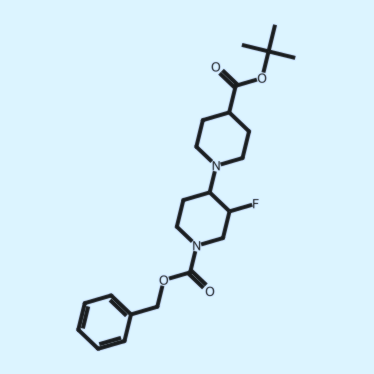 CC(C)(C)OC(=O)C1CCN(C2CCN(C(=O)OCc3ccccc3)CC2F)CC1